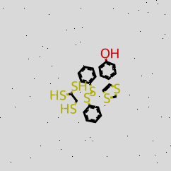 C1=CSCS1.Oc1ccccc1.SCC(S)S.c1ccc(SSc2ccccc2)cc1